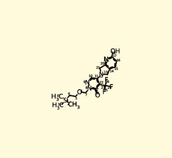 C[Si](C)(C)CCOCn1ncc(N2Cc3ccc(O)nc3C2)c(C(F)(F)F)c1=O